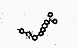 Cc1ccc(-c2cnc(-c3cccc(-c4ccc5cc6c(cc5c4)Cc4ccc(N(c5ccccc5)c5ccccc5)cc4C6)c3)nc2)cc1